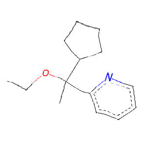 CCOC(C)(c1ccccn1)C1CCCC1